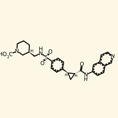 O=C(Nc1ccc2cnccc2c1)[C@@H]1C[C@H]1c1ccc(S(=O)(=O)NC[C@@H]2CCCN(C(=O)O)C2)cc1